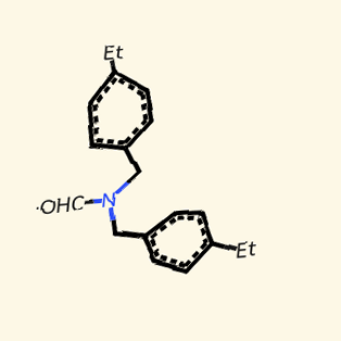 CCc1ccc(CN([C]=O)Cc2ccc(CC)cc2)cc1